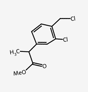 COC(=O)C(C)c1ccc(CCl)c(Cl)c1